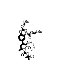 CCC(C)(C)OC(=O)OC(C)CC(c1ccc(OC(=O)OCC(C)(C)C)c(OC(=O)OCC(C)(C)C)c1)[C@H](N)C(=O)O